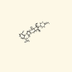 COc1nccc(I)c1-c1nc2c(Cl)c3c(cc2[nH]1)C(=O)N(C1CCN(C)CC1)C3=O